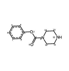 O=C(Oc1ccccc1)N1CCNCC1